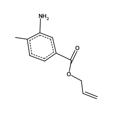 C=CCOC(=O)c1ccc(C)c(N)c1